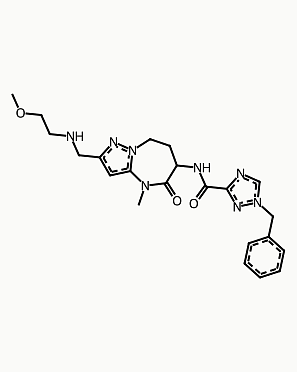 COCCNCc1cc2n(n1)CCC(NC(=O)c1ncn(Cc3ccccc3)n1)C(=O)N2C